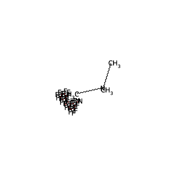 CCCCCCCCCCCCCCCCCCN(C)CCCCCCCCCCCCCCCCCC.Fc1c(F)c(F)c(B(c2c(F)c(F)c(F)c(F)c2F)c2c(F)c(F)c(F)c(F)c2F)c(F)c1F.Fc1c(F)c(F)c(B(c2c(F)c(F)c(F)c(F)c2F)c2c(F)c(F)c(F)c(F)c2F)c(F)c1F.c1c[nH]cn1